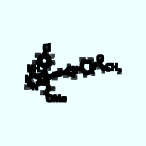 C=CC(=O)N1CCC(N2CC(C#Cc3c(-c4ccc(Cl)cc4)c4c(N)ncnc4n3CCOC)C2)CC1